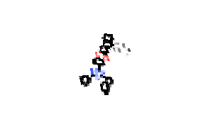 CC1(C)c2ccccc2-c2cc3c(cc21)Oc1cc(-c2nc(-c4ccccc4)nc(-c4cccc5ccccc45)n2)ccc1O3